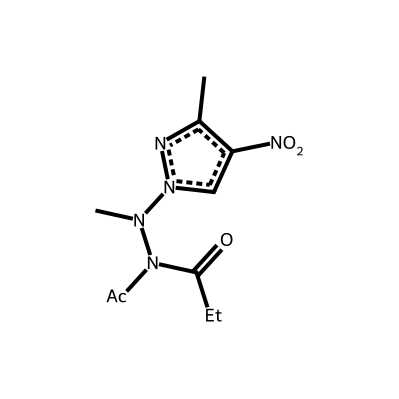 CCC(=O)N(C(C)=O)N(C)n1cc([N+](=O)[O-])c(C)n1